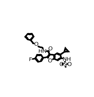 CS(=O)(=O)Nc1cc2oc(-c3ccc(F)cc3)c(C(=O)NCCOCc3ccccc3)c2cc1C1CC1